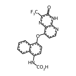 O=C(O)Nc1ccc(Oc2ccnc3[nH]c(=O)c(C(F)(F)F)nc23)c2ccccc12